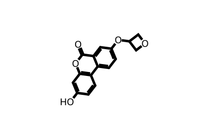 O=c1oc2cc(O)ccc2c2ccc(OC3COC3)cc12